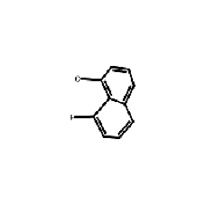 [O]c1cccc2cccc(F)c12